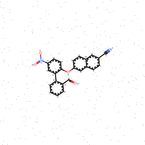 N#Cc1ccc2cc(Oc3ccc([N+](=O)[O-])cc3-c3ccccc3C=O)ccc2c1